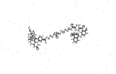 CC#C[C@]1(OC)CC[C@H]2[C@@H]3CCC4=CC(=O)CCC4=C3[C@@H](c3ccc(N(C)CCCCCC(=O)NCCOCCOCC(=O)N4CCN(C(=O)c5cc(Cc6n[nH]c(=O)c7ccccc67)ccc5F)CC4)cc3)C[C@@]21C